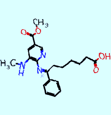 CNc1cc(C(=O)OC)cnc1/N=C(\CCCCCC(=O)O)c1ccccc1